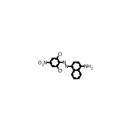 Nc1ccc(/N=N/c2c(Cl)cc([N+](=O)[O-])cc2Cl)c2ccccc12